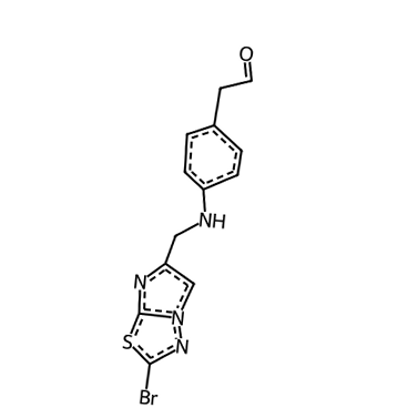 O=CCc1ccc(NCc2cn3nc(Br)sc3n2)cc1